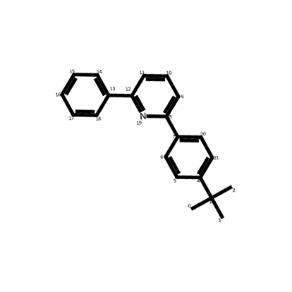 CC(C)(C)c1ccc(-c2cccc(-c3ccccc3)n2)cc1